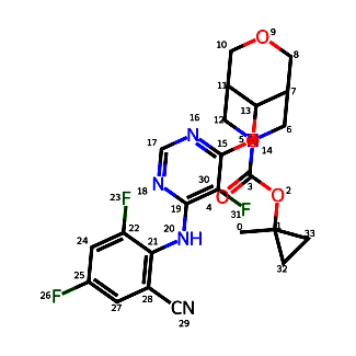 CC1(OC(=O)N2CC3COCC(C2)C3Oc2ncnc(Nc3c(F)cc(F)cc3C#N)c2F)CC1